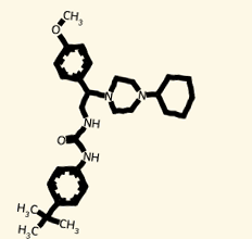 COc1ccc(C(CNC(=O)Nc2ccc(C(C)(C)C)cc2)N2CCN(C3CCCCC3)CC2)cc1